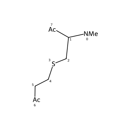 CNC(CSCCC(C)=O)C(C)=O